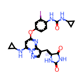 O=C1NC(=O)/C(=C/c2cnn3c(NC4CC4)cc(Oc4ccc(NC(=O)NC5CC5)c(I)c4)nc23)N1